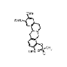 COc1cc2c(cc1OC)C1Cc3ccc(OC)c(OS(C)(=O)=O)c3CN1CC2